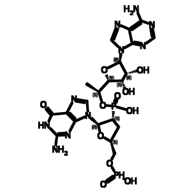 C[C@H](OP(=O)(O)[C@@H]1C[C@@H](CO[PH](=O)O)O[C@H]1n1cnc2c(=O)[nH]c(N)nc21)[C@@H]1O[C@@H](n2cnc3c(N)ncnc32)[C@H](O)[C@@H]1O